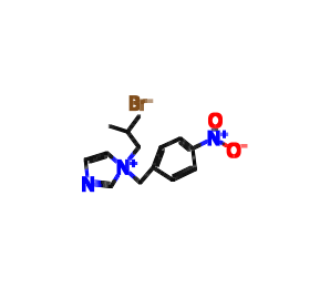 CC(C)C[N+]1(Cc2ccc([N+](=O)[O-])cc2)C=CN=C1.[Br-]